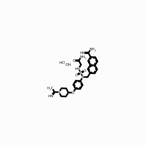 CC(=N)N1CCC(Oc2ccc(N(Cc3ccc4ccc(C(=N)N)cc4c3)S(=O)(=O)NCC(N)=O)cc2)CC1.Cl.Cl